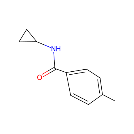 Cc1ccc(C(=O)NC2CC2)cc1